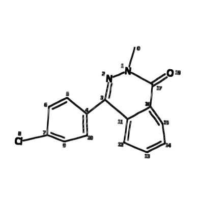 Cn1nc(-c2ccc(Cl)cc2)c2ccccc2c1=O